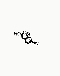 N#Cc1ccc(CC(=O)O)c(Br)n1